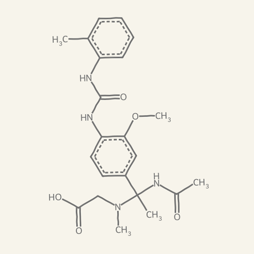 COc1cc(C(C)(NC(C)=O)N(C)CC(=O)O)ccc1NC(=O)Nc1ccccc1C